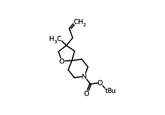 C=CCC1(C)COC2(CCN(C(=O)OC(C)(C)C)CC2)C1